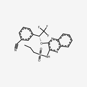 CCCS(=O)(=O)Nc1nc2ccccc2nc1O[C@H](c1cccc(C#N)c1)C(F)(F)F